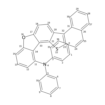 c1ccc(N(c2ccccc2)c2cccc3oc4ccc5c(sc6ccc7ccccc7c65)c4c23)cc1